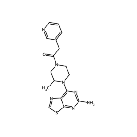 CC1CN(C(=O)Cc2cccnc2)CCN1c1nc(N)nc2scnc12